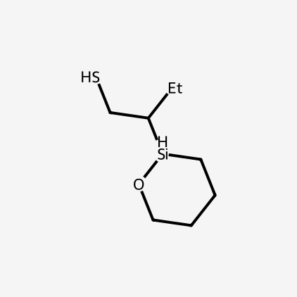 CCC(CS)[SiH]1CCCCO1